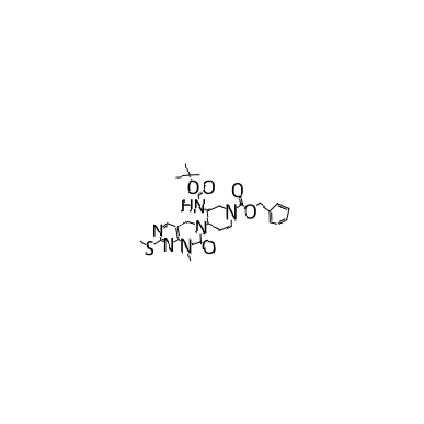 CSc1ncc2c(n1)N(C)C(=O)N(C1CCN(C(=O)OCc3ccccc3)CC1NC(=O)OC(C)(C)C)C2